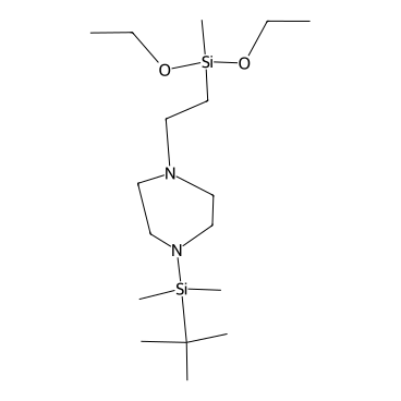 CCO[Si](C)(CCN1CCN([Si](C)(C)C(C)(C)C)CC1)OCC